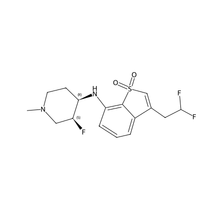 CN1CC[C@@H](Nc2cccc3c2S(=O)(=O)C=C3CC(F)F)[C@@H](F)C1